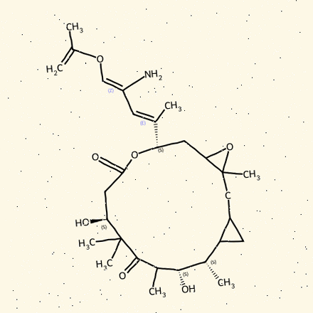 C=C(C)O/C=C(N)/C=C(\C)[C@@H]1CC2OC2(C)CC2CC2[C@H](C)[C@H](O)C(C)C(=O)C(C)(C)[C@@H](O)CC(=O)O1